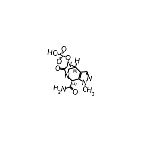 Cn1ncc2c1[C@@H](C(N)=O)N1C[C@@H]2N(OS(=O)(=O)O)C1=O